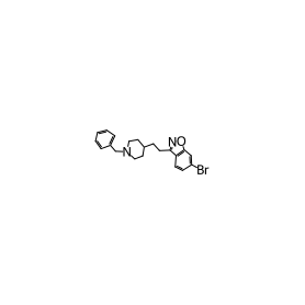 Brc1ccc2c(CCC3CCN(Cc4ccccc4)CC3)noc2c1